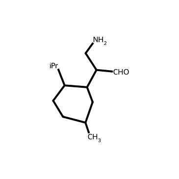 CC1CCC(C(C)C)C(C(C=O)CN)C1